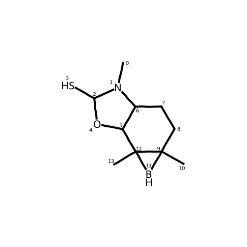 CN1C(S)OC2C1CCC1(C)BC21C